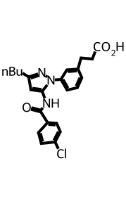 CCCCc1cc(NC(=O)c2ccc(Cl)cc2)n(-c2cccc(CCC(=O)O)c2)n1